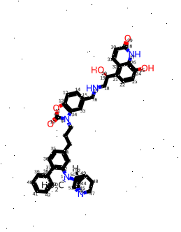 O=C(O)N(c1cc(CCCn2c(=O)oc3ccc(CNC[C@@H](O)c4ccc(O)c5[nH]c(=O)ccc45)cc32)ccc1-c1ccccc1)[C@H]1CN2CCC1CC2